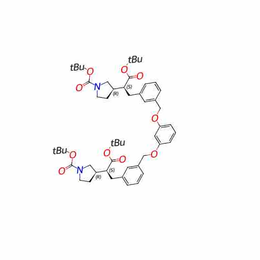 CC(C)(C)OC(=O)[C@@H](Cc1cccc(COc2cccc(OCc3cccc(C[C@H](C(=O)OC(C)(C)C)[C@H]4CCN(C(=O)OC(C)(C)C)C4)c3)c2)c1)[C@H]1CCN(C(=O)OC(C)(C)C)C1